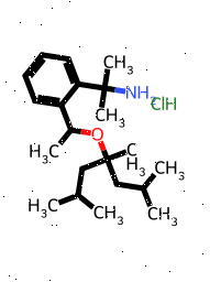 CC(C)CC(C)(CC(C)C)OC(C)c1ccccc1C(C)(C)N.Cl